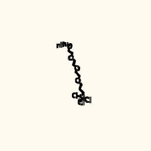 CCCCOCCOCCOCCOCCC[Si](Cl)(Cl)Cl